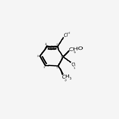 CC1C=CC=C(Cl)C1(Cl)C=O